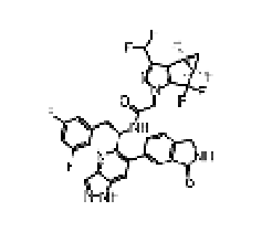 O=C(Cn1nc(C(F)F)c2c1C(F)(F)[C@@H]1C[C@H]21)NC(Cc1cc(F)cc(F)c1)c1nc2cn[nH]c2cc1-c1ccc2c(c1)C(=O)NC2